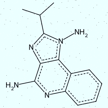 CC(C)c1nc2c(N)nc3ccccc3c2n1N